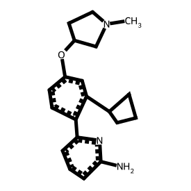 CN1CCC(Oc2ccc(-c3cccc(N)n3)c(C3CCC3)c2)C1